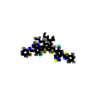 CCCCC(CC)CC1(CC(CC)CCCC)c2cc(-c3c(F)cc(-c4nc5ccccc5s4)c4nsnc34)sc2-c2sc(-c3c(F)cc(-c4nc5ccccc5s4)c4nsnc34)cc21